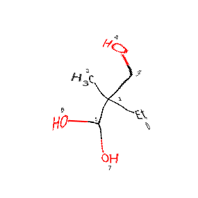 CCC(C)(CO)C(O)O